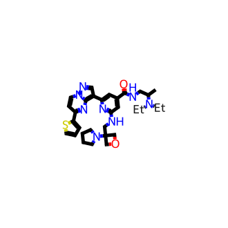 CCN(CC)C(C)CNC(=O)c1cc(NCC2(N3CCCC3)COC2)nc(-c2cnn3ccc(-c4cccs4)nc23)c1